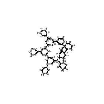 c1ccc(-c2cc(-c3cc(-c4ccccc4)cc(-n4c5ccccc5c5cc6c(cc54)oc4ccccc46)c3)cc(-c3nc(-c4ccccc4)nc(-c4ccccc4)n3)c2)cc1